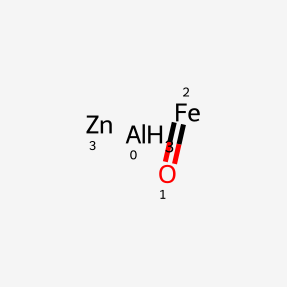 [AlH3].[O]=[Fe].[Zn]